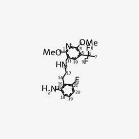 COc1nc(OC)c(C(C)(F)F)cc1NCCc1c(N)cccc1F